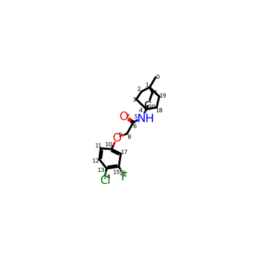 CC12CCC(NC(=O)COc3ccc(Cl)c(F)c3)(CC1)CC2